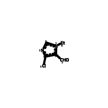 CCn1cnc(Cl)c1C=O